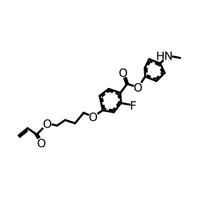 C=CC(=O)OCCCCOc1ccc(C(=O)Oc2ccc(NC)cc2)c(F)c1